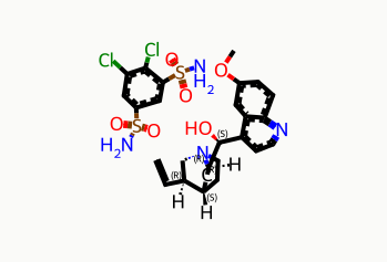 C=C[C@H]1C[N@]2CC[C@H]1C[C@@H]2[C@@H](O)c1ccnc2ccc(OC)cc12.NS(=O)(=O)c1cc(Cl)c(Cl)c(S(N)(=O)=O)c1